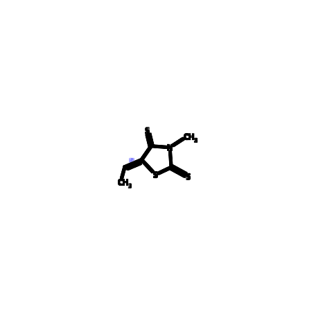 C/C=C1\SC(=S)N(C)C1=S